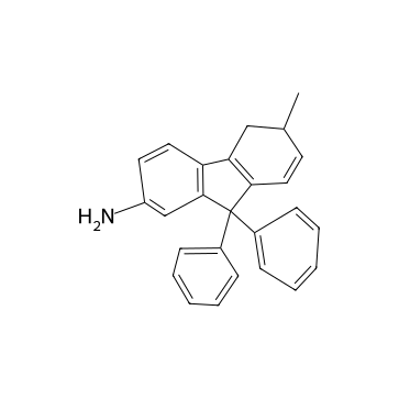 CC1C=CC2=C(C1)c1ccc(N)cc1C2(c1ccccc1)c1ccccc1